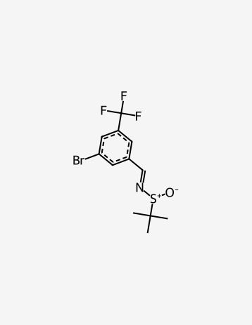 CC(C)(C)[S+]([O-])N=Cc1cc(Br)cc(C(F)(F)F)c1